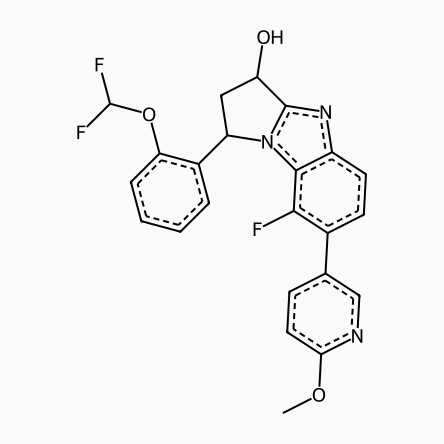 COc1ccc(-c2ccc3nc4n(c3c2F)C(c2ccccc2OC(F)F)CC4O)cn1